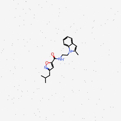 Cc1cc2ccccc2n1CCNC(=O)c1cc(CC(C)C)no1